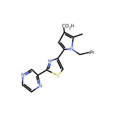 Cc1c(C(=O)O)cc(-c2csc(-c3cnccn3)n2)n1CC(C)C